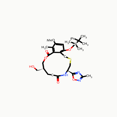 COc1cc(O[Si](C)(C)C(C)(C)C(C)C)c2c(c1C)C(=O)OC[C@@H](CO)CCC(=O)N[C@H](c1nc(C)no1)CSC2